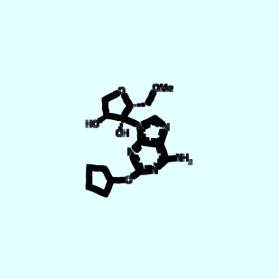 COC[C@H]1OC[C@H](O)[C@]1(O)n1cnc2c(N)nc(OC3CCCC3)nc21